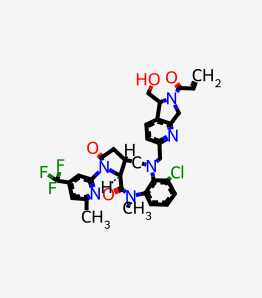 C=CC(=O)N1Cc2nc(CN3C[C@H]4CC(=O)N(c5cc(C(F)(F)F)cc(C)n5)[C@@H]4C(=O)N(C)c4cccc(Cl)c43)ccc2C1CO